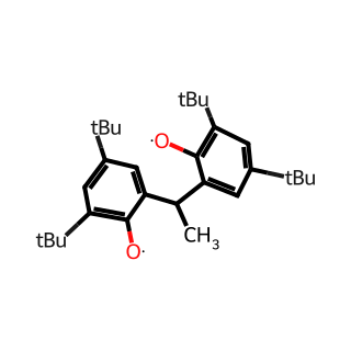 CC(c1cc(C(C)(C)C)cc(C(C)(C)C)c1[O])c1cc(C(C)(C)C)cc(C(C)(C)C)c1[O]